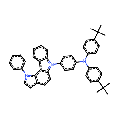 CC(C)(C)c1ccc(N(c2ccc(-n3c4ccccc4c4c5c(ccc43)ccn5-c3ccccc3)cc2)c2ccc(C(C)(C)C)cc2)cc1